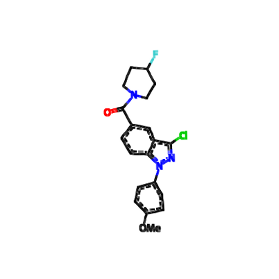 COc1ccc(-n2nc(Cl)c3cc(C(=O)N4CCC(F)CC4)ccc32)cc1